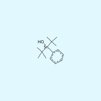 C[C](C)(C)[Sn]([OH])([c]1ccccc1)[C](C)(C)C